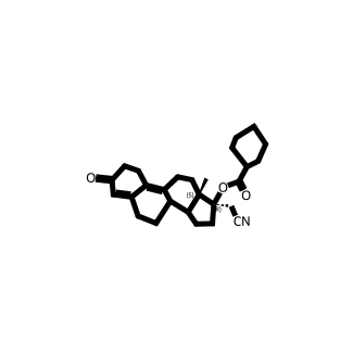 C[C@]12CCC3=C4CCC(=O)C=C4CCC3C1CC[C@]2(CC#N)OC(=O)C1CCCCC1